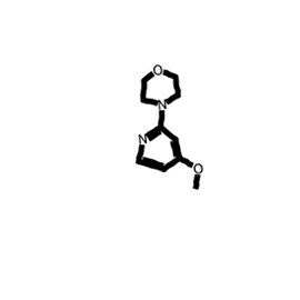 COc1ccnc(N2CCOCC2)c1